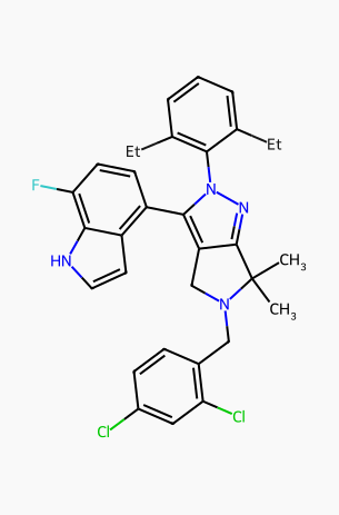 CCc1cccc(CC)c1-n1nc2c(c1-c1ccc(F)c3[nH]ccc13)CN(Cc1ccc(Cl)cc1Cl)C2(C)C